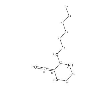 CCCCCCOC1NCCSC1=C=O